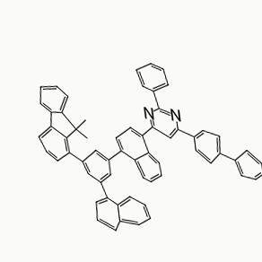 CC1(C)c2ccccc2-c2cccc(-c3cc(-c4cccc5ccccc45)cc(-c4ccc(-c5cc(-c6ccc(-c7ccccc7)cc6)nc(-c6ccccc6)n5)c5ccccc45)c3)c21